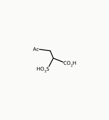 CC(=O)CC(C(=O)O)S(=O)(=O)O